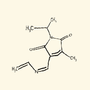 C=C/N=C\C1=C(C)C(=O)N(C(C)C)C1=O